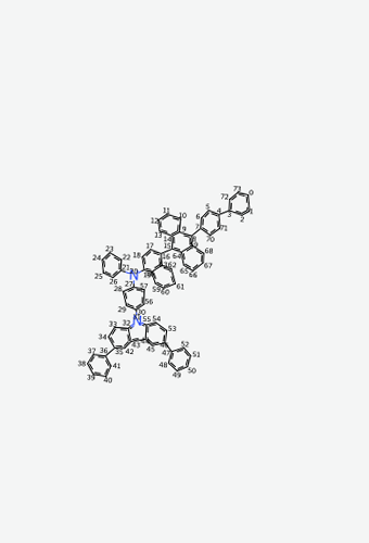 c1ccc(-c2ccc(-c3c4ccccc4c(-c4ccc(N(c5ccccc5)c5ccc(-n6c7ccc(-c8ccccc8)cc7c7cc(-c8ccccc8)ccc76)cc5)c5ccccc45)c4ccccc34)cc2)cc1